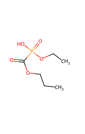 CCCOC(=O)P(=O)(O)OCC